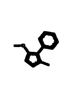 COc1ccn(C)c1-c1ccccc1